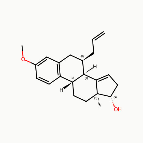 C=CC[C@@H]1Cc2cc(OC)ccc2[C@H]2CC[C@@]3(C)C(=CC[C@@H]3O)[C@H]12